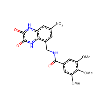 COc1cc(C(=O)NCc2cc([N+](=O)[O-])cc3[nH]c(=O)c(=O)[nH]c23)cc(OC)c1OC